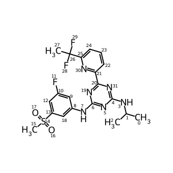 CC(C)Nc1nc(Nc2cc(F)cc(S(C)(=O)=O)c2)nc(-c2cccc(C(C)(F)F)n2)n1